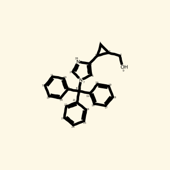 OCC1CC1c1cn(C(c2ccccc2)(c2ccccc2)c2ccccc2)cn1